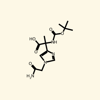 CC(C)(C)OC(=O)NC(C)(C(=O)O)c1cn(CC(N)=O)cn1